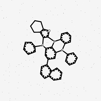 c1ccc(N2c3ccccc3B3c4oc5c(c4N(c4ccccc4)c4cc(-c6cccc7ccccc67)cc2c43)CCCC5)cc1